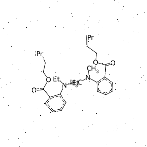 CC(C)CCOC(=O)c1ccccc1N(C)C.CCN(CC)c1ccccc1C(=O)OCCC(C)C